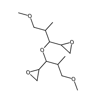 COCC(C)C(OC(C(C)COC)C1CO1)C1CO1